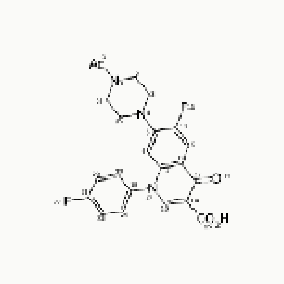 CC(=O)N1CCN(c2cc3c(cc2F)c(=O)c(C(=O)O)cn3-c2ccc(F)cc2)CC1